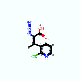 C/C(=C(\N=[N+]=[N-])C(=O)O)c1cccnc1Cl